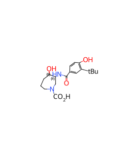 CC(C)(C)c1cc(C(=O)N[C@@H]2CN(C(=O)O)CCC[C@H]2O)ccc1O